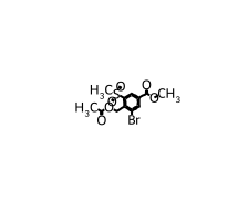 COC(=O)c1cc(Br)c(COC(C)=O)c(S(C)(=O)=O)c1